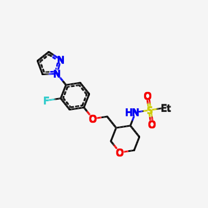 CCS(=O)(=O)NC1CCOCC1COc1ccc(-n2cccn2)c(F)c1